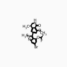 COc1cc(-c2c3c(OC(F)F)cc(Br)cc3nn2C)cc2c1C(=O)NC[C@@H]2C